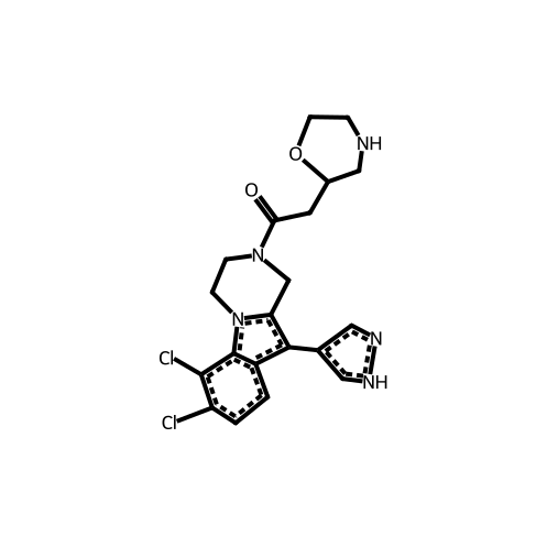 O=C(CC1CNCCO1)N1CCn2c(c(-c3cn[nH]c3)c3ccc(Cl)c(Cl)c32)C1